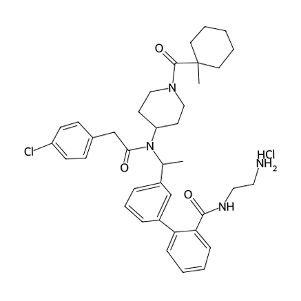 CC(c1cccc(-c2ccccc2C(=O)NCCN)c1)N(C(=O)Cc1ccc(Cl)cc1)C1CCN(C(=O)C2(C)CCCCC2)CC1.Cl